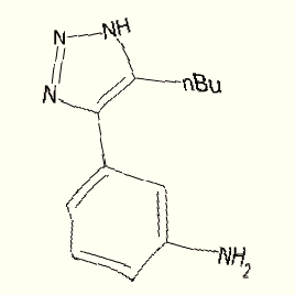 [CH2]CCCc1[nH]nnc1-c1cccc(N)c1